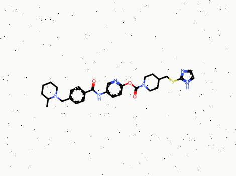 CC1CCCCN1Cc1ccc(C(=O)Nc2ccc(OC(=O)N3CCC(CSc4ncc[nH]4)CC3)nc2)cc1